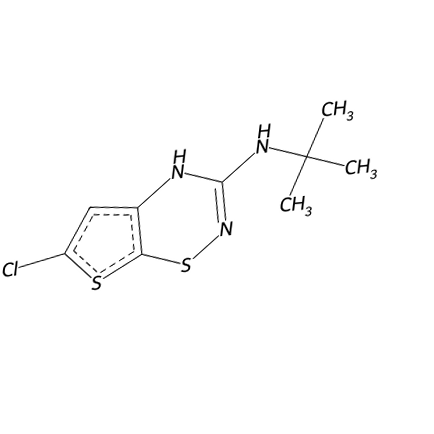 CC(C)(C)NC1=NSc2sc(Cl)cc2N1